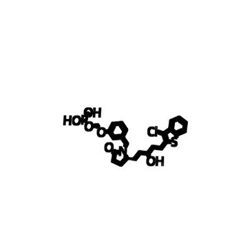 O=C1CC[C@H](CCC(O)CCc2sc3ccccc3c2Cl)N1Cc1cccc(OCOP(O)O)c1